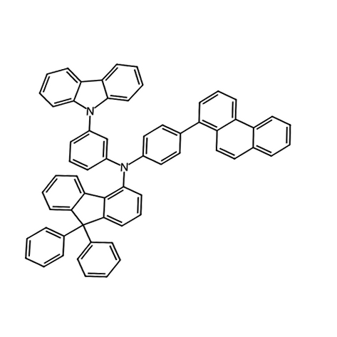 c1ccc(C2(c3ccccc3)c3ccccc3-c3c(N(c4ccc(-c5cccc6c5ccc5ccccc56)cc4)c4cccc(-n5c6ccccc6c6ccccc65)c4)cccc32)cc1